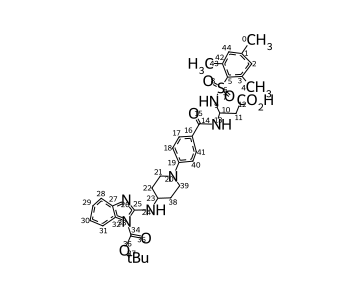 Cc1cc(C)c(S(=O)(=O)NC(CC(=O)O)NC(=O)c2ccc(N3CCC(Nc4nc5ccccc5n4C(=O)OC(C)(C)C)CC3)cc2)c(C)c1